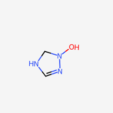 ON1CNC=N1